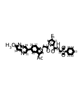 CC(=O)c1cn(CC(=O)N2C[C@H](F)C[C@H]2C(=O)NCS(=O)(=O)c2ccccc2)c2ccc(-c3cnc4cc(C)nn4c3)cc12